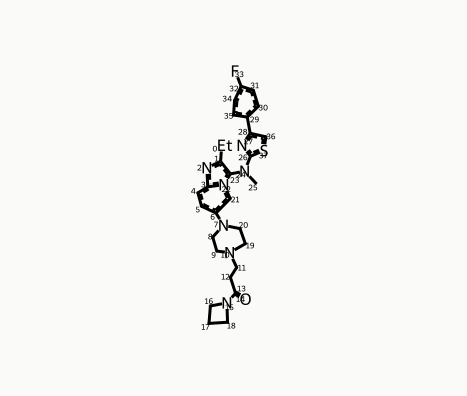 CCc1nc2ccc(N3CCN(CCC(=O)N4CCC4)CC3)cn2c1N(C)c1nc(-c2ccc(F)cc2)cs1